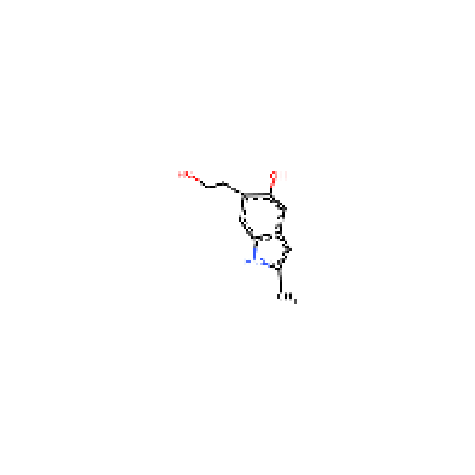 Cc1cc2cc(O)c(CCO)cc2[nH]1